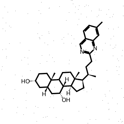 Cc1ccc2cnc(CC[C@@H](C)[C@H]3CC[C@H]4[C@H]5C(CC[C@]34C)[C@@]3(C)CC[C@@H](O)C[C@H]3C[C@H]5O)nc2c1